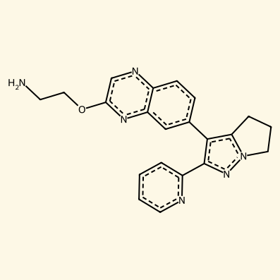 NCCOc1cnc2ccc(-c3c(-c4ccccn4)nn4c3CCC4)cc2n1